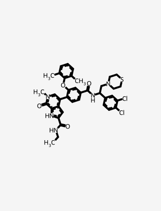 CCNC(=O)c1cc2c(-c3ccc(C(=O)NC(CN4CCSCC4)c4ccc(Cl)c(Cl)c4)cc3Oc3c(C)cccc3C)cn(C)c(=O)c2[nH]1